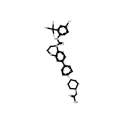 O=C(O)C[C@H]1CC[C@H](c2ccc(-c3ccc4c(c3)OCCN4C(=O)Nc3ccc(F)cc3C(F)(F)F)cc2)CC1